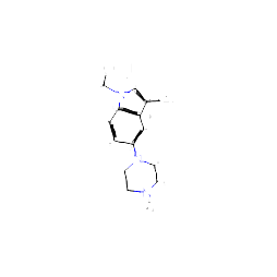 CC(=O)c1cn(CC(=O)O)c2ccc(N3CCN(C(C)=O)CC3)cc12